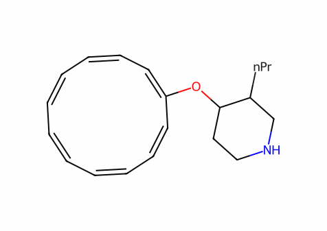 CCCC1CNCCC1OC1=C/C=C\C=C/C=C\C=C/C=C\1